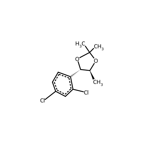 C[C@@H]1OC(C)(C)O[C@H]1c1ccc(Cl)cc1Cl